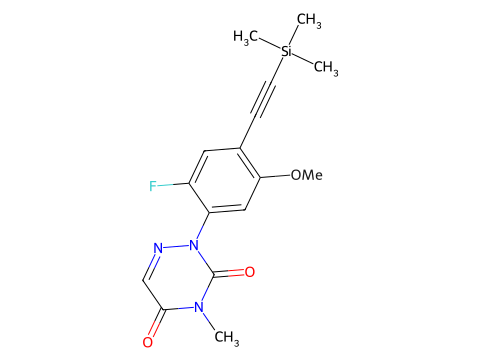 COc1cc(-n2ncc(=O)n(C)c2=O)c(F)cc1C#C[Si](C)(C)C